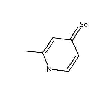 CC1=CC(=[Se])C=C[N]1